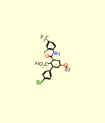 CCO[C@H]1CC(c2ccc(Br)cc2)C(C(=O)O)[C@@H](C(=O)Nc2ccc(C(F)(F)F)cc2F)C1